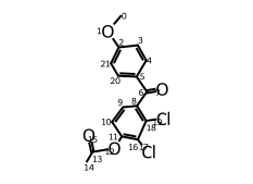 COc1ccc(C(=O)c2ccc(OC(C)=O)c(Cl)c2Cl)cc1